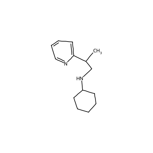 CC(CNC1CCCCC1)c1ccccn1